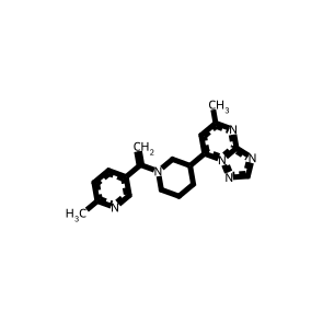 C=C(c1ccc(C)nc1)N1CCCC(c2cc(C)nc3ncnn23)C1